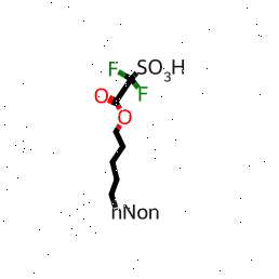 CCCCCCCCCCCCCCOC(=O)C(F)(F)S(=O)(=O)O